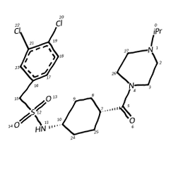 CC(C)N1CCN(C(=O)[C@H]2CC[C@@H](NS(=O)(=O)Cc3ccc(Cl)c(Cl)c3)CC2)CC1